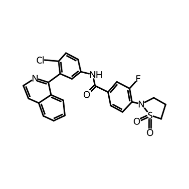 O=C(Nc1ccc(Cl)c(-c2nccc3ccccc23)c1)c1ccc(N2CCCS2(=O)=O)c(F)c1